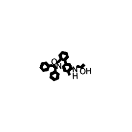 C=C(O)CNc1cc(-c2ccccc2-c2nc(-c3ccccc3)c(-c3ccccc3)o2)ccc1C